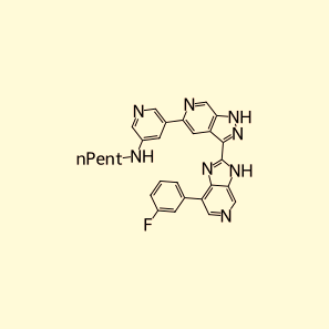 CCCCCNc1cncc(-c2cc3c(-c4nc5c(-c6cccc(F)c6)cncc5[nH]4)n[nH]c3cn2)c1